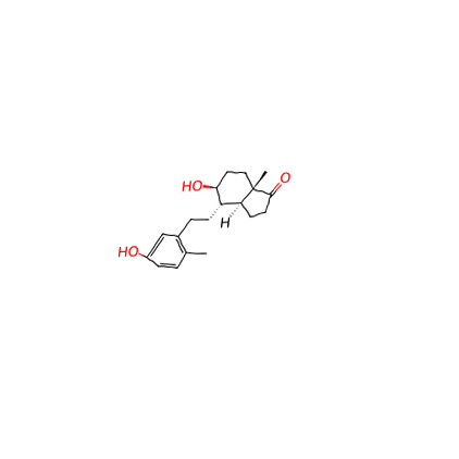 Cc1ccc(O)cc1CC[C@@H]1[C@@H](O)CC[C@]2(C)C(=O)CC[C@@H]12